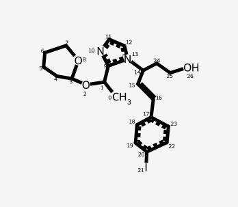 CC(OC1CCCCO1)c1nccn1C(/C=C/c1ccc(I)cc1)CCO